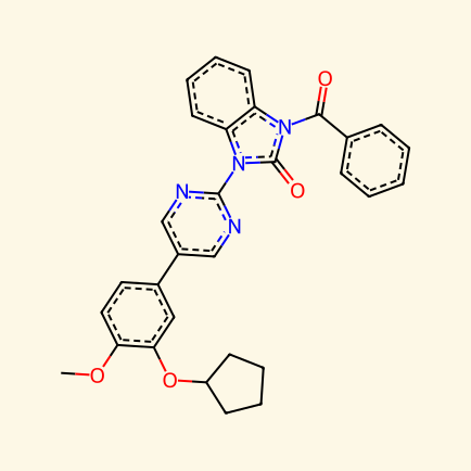 COc1ccc(-c2cnc(-n3c(=O)n(C(=O)c4ccccc4)c4ccccc43)nc2)cc1OC1CCCC1